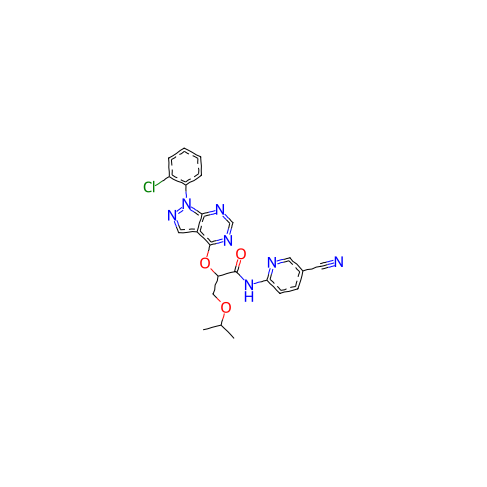 CC(C)OCC(Oc1ncnc2c1cnn2-c1ccccc1Cl)C(=O)Nc1ccc(C#N)cn1